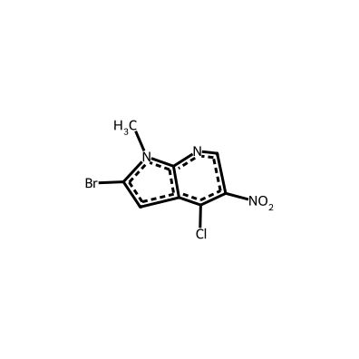 Cn1c(Br)cc2c(Cl)c([N+](=O)[O-])cnc21